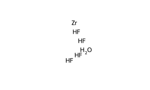 F.F.F.F.O.[Zr]